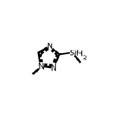 C[SiH2]c1ncn(C)n1